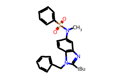 CN(c1ccc2c(c1)nc(C(C)(C)C)n2Cc1ccccc1)S(=O)(=O)c1ccccc1